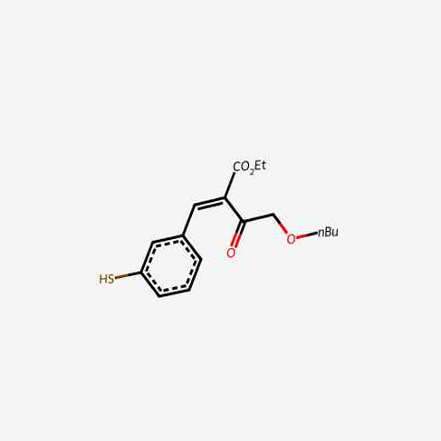 CCCCOCC(=O)C(=Cc1cccc(S)c1)C(=O)OCC